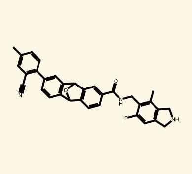 Cc1ccc(-c2ccc3c(c2)C2OC3c3ccc(C(=O)NCc4c(F)cc5c(c4C)CNC5)cc32)c(C#N)c1